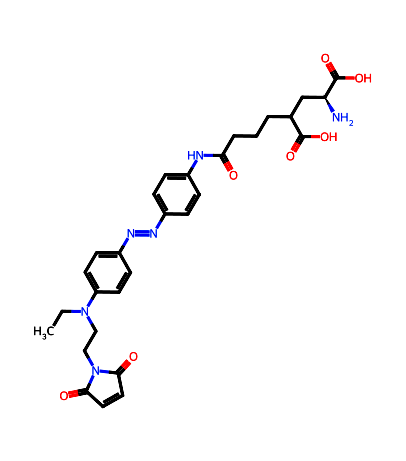 CCN(CCN1C(=O)C=CC1=O)c1ccc(/N=N/c2ccc(NC(=O)CCCC(C[C@H](N)C(=O)O)C(=O)O)cc2)cc1